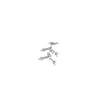 O=[PH2][O-].O=[PH2][O-].[Mn+2]